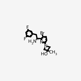 CC1(O)CN(c2ccc(Br)c([C@@H](N)Cc3cc(F)cc(F)c3)n2)C1